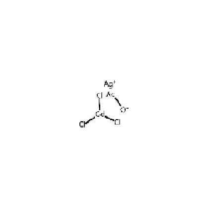 CC(=O)[O-].[Ag+].[Cl][Gd]([Cl])[Cl]